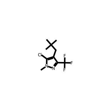 Cn1nc(C(F)(F)F)c(CC(C)(C)C)c1Cl